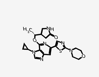 C[C@@H](Oc1nc(-c2cnc(N3CCOCC3)s2)cc2ncn(C3CC3)c12)C1CNC(=O)C1